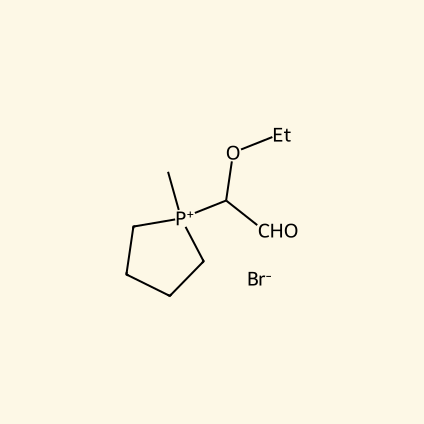 CCOC(C=O)[P+]1(C)CCCC1.[Br-]